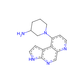 NC1CCCN(c2ccnc3cnc4[nH]ccc4c23)C1